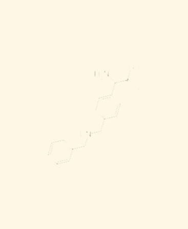 NC(C(=O)O)c1ccc(CNCc2ccccc2)cc1